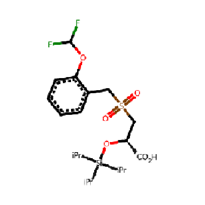 CC(C)[Si](O[C@@H](CS(=O)(=O)Cc1ccccc1OC(F)F)C(=O)O)(C(C)C)C(C)C